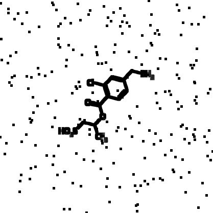 BCc1ccc(C(=O)OC(CS(=O)(=O)O)C(F)(F)F)c(Cl)c1